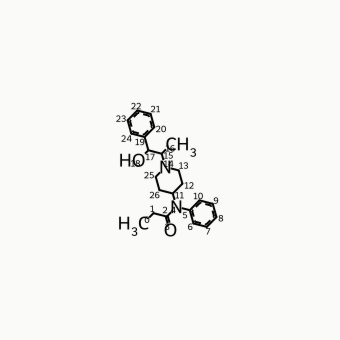 CCC(=O)N(c1ccccc1)C1CCN(C(C)C(O)c2ccccc2)CC1